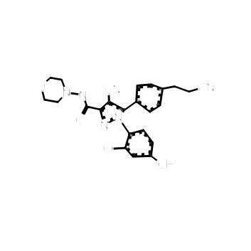 Cc1ccc(-n2nc(C(=O)NN3CCOCC3)c(C#N)c2-c2ccc(CCC#N)cc2)c(Cl)c1